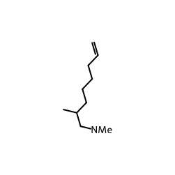 C=CCCCCC(C)CNC